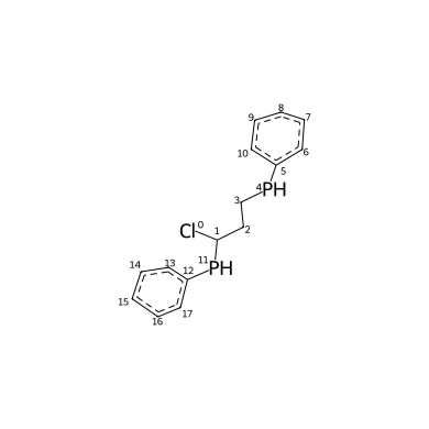 ClC(CCPc1ccccc1)Pc1ccccc1